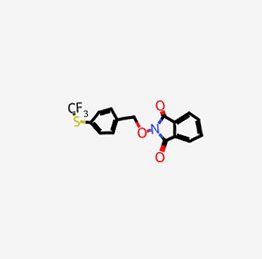 O=C1c2ccccc2C(=O)N1OCc1ccc(SC(F)(F)F)cc1